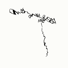 CCC=CCC=CCC=CCC=CCC=CCCCC(=O)NC(CCCCNC(=O)CC=Cc1ccc(CCN2CCCC2)nc1)C(=O)OC(CO)CO